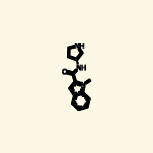 Cn1c(C(=O)N[C@@H]2CCNC2)cc2ccccc21